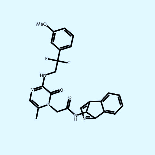 COc1cccc(C(F)(F)CNc2ncc(C)n(CC(=O)NC3C4=CN=C3c3ccccc34)c2=O)c1